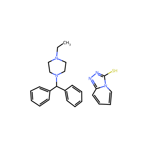 CCN1CCN(C(c2ccccc2)c2ccccc2)CC1.Sc1nnc2ccccn12